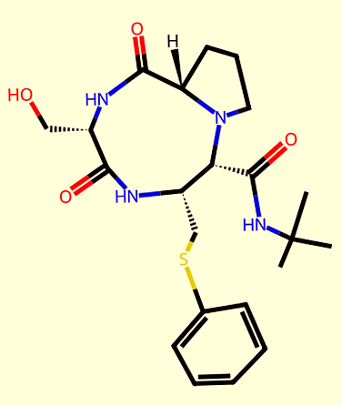 CC(C)(C)NC(=O)[C@@H]1[C@H](CSc2ccccc2)NC(=O)[C@H](CO)NC(=O)[C@@H]2CCCN12